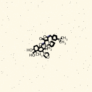 C=C1C(N2CCOCC2)CC2[C@](C)(CC[C@@H](O)[C@@]2(C)CO)C1/C=C(\Nc1ccccn1)C1=C/C(=C\c2ccc(N(C)C)cc2)OC1=O